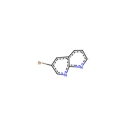 Brc1cnc2n[c]ccc2c1